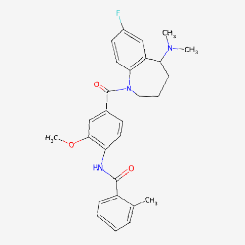 COc1cc(C(=O)N2CCCC(N(C)C)c3cc(F)ccc32)ccc1NC(=O)c1ccccc1C